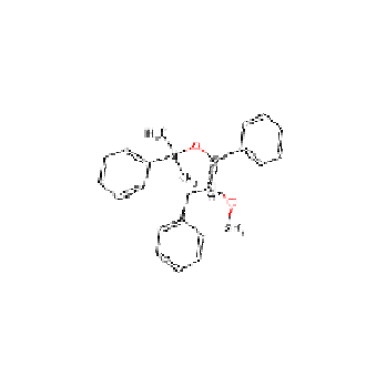 C[Si](C)(O[SiH](c1ccccc1)[SiH](Cc1ccccc1)O[SiH3])c1ccccc1